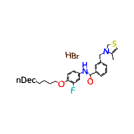 Br.CCCCCCCCCCCCCCOc1ccc(NC(=O)c2cccc(CN3CSC=C3C)c2)cc1F